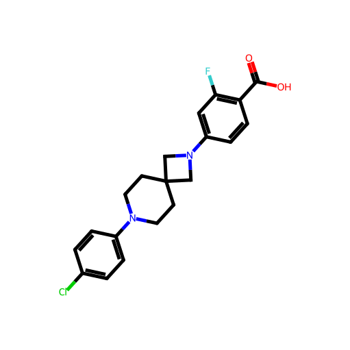 O=C(O)c1ccc(N2CC3(CCN(c4ccc(Cl)cc4)CC3)C2)cc1F